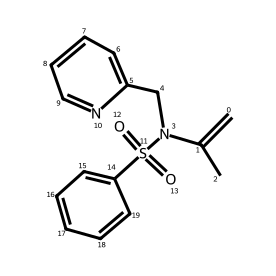 C=C(C)N(Cc1ccccn1)S(=O)(=O)c1ccccc1